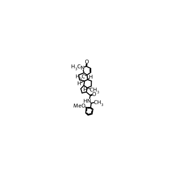 COc1ccccc1C(C)NC(=O)C1CC[C@H]2[C@@H]3CCC4N(C)C(=O)C=C[C@]4(C)[C@@H]3CC[C@]12C